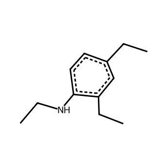 CCNc1ccc(CC)cc1CC